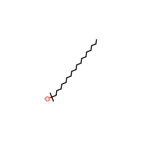 CCCCCCCCCCCCCCCCCCC(C)(C)[O]